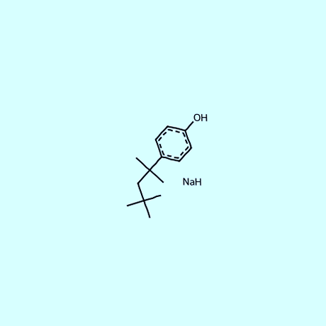 CC(C)(C)CC(C)(C)c1ccc(O)cc1.[NaH]